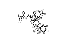 CNC(=O)CCN1CC2(CCC(c3ccccc3)(N(C)C)CC2)N(CC2CCC2)C1=O